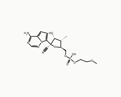 COCCOP(=O)(O)OC[C@H]1O[C@@](C#N)(c2ccc3c(N)ncnn23)[C@H](O)[C@@H]1C